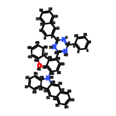 c1ccc(-c2nc(-c3ccc4ccccc4c3)nc(-c3ccc(-n4c5ccccc5c5cc6ccccc6cc54)c4oc5ccccc5c34)n2)cc1